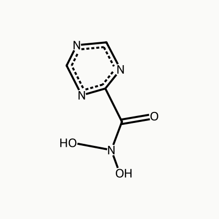 O=C(c1ncncn1)N(O)O